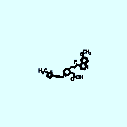 COc1ccc2nccc([C@@H](F)CC[C@@H]3CCN(CC#Cc4ccc(C)s4)C[C@@H]3CC(=O)O)c2c1